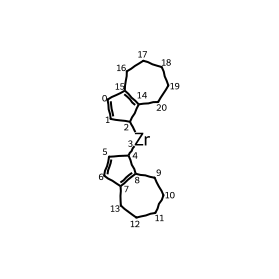 C1=C[CH]([Zr][CH]2C=CC3=C2CCCCC3)C2=C1CCCCC2